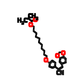 C=C(C)C(=O)OCCCCCCCCCCCOc1ccc(C(C#N)=Cc2ccc3c(c2)OCO3)cc1